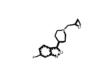 Fc1ccc2c(C3CCN(CC4CO4)CC3)onc2c1